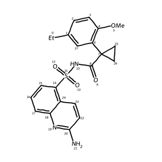 CCc1ccc(OC)c(C2(C(=O)NS(=O)(=O)c3cccc4nc(N)ccc34)CC2)c1